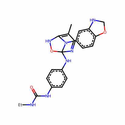 CCNC(=O)Nc1ccc(NC23N=CC(C)=C(NO2)N3c2ccc3c(c2)NCO3)cc1